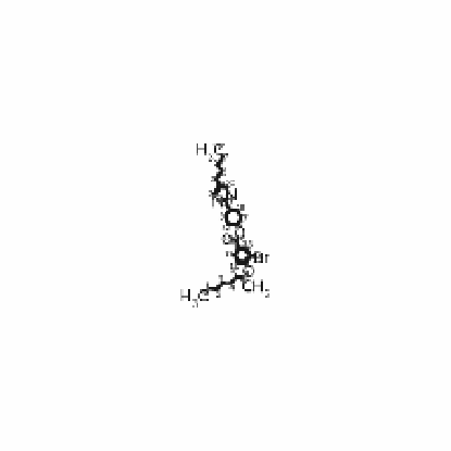 CCCCCCC(C)Oc1ccc(C(=O)Oc2ccc(-c3ncc(CCCCC)cn3)cc2)cc1Br